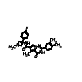 Cc1ccc(-c2nn3cc(C(=O)NC4(c5ccc(F)cc5)CN(C)C4)c(C)c3c(=O)[nH]2)cc1C